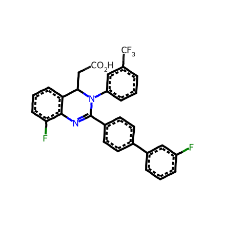 O=C(O)CC1c2cccc(F)c2N=C(c2ccc(-c3cccc(F)c3)cc2)N1c1cccc(C(F)(F)F)c1